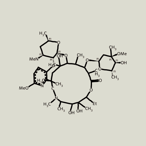 CCC1OC(=O)C(C)C(O[C@H]2C[C@@](C)(OC)[C@@H](O)[C@H](C)O2)C(C)C(O[C@@H]2O[C@H](C)C[C@H](NC)[C@H]2Oc2ccc(OC)nc2C)C(C)(O)CC(C)CN(C)C(C)C(O)C1(C)O